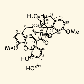 COc1ccc2c3c1Oc1c(ccc(CO)c1O)C1=C3N(CC2)[C@]2(CC3[C@@H]4Cc5ccc(OC)c6c5[C@]3(CCN4C)[C@@H]2O6)C1=O